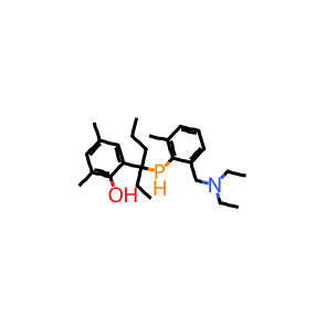 CCCC(CC)(Pc1c(C)cccc1CN(CC)CC)c1cc(C)cc(C)c1O